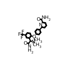 CN(C)C(C(N)=O)c1cc(C(F)(F)F)ccc1Oc1ccc(-c2cccc(C(N)=O)n2)cc1